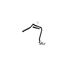 C/C=[CH]\[Sb]